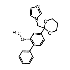 COc1cc(C2(Cn3ccnc3)OCCCO2)ccc1-c1ccccc1